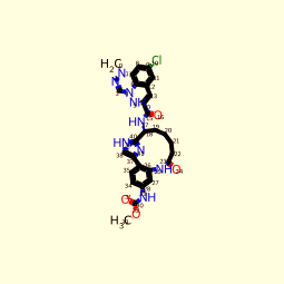 C=N/N=C\N(N)c1ccc(Cl)cc1/C=C/C(=O)N[C@H]1CCCCC(=O)Nc2cc(NC(=O)OC)ccc2-c2c[nH]c1n2